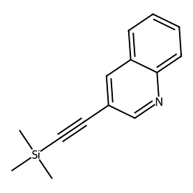 C[Si](C)(C)C#Cc1cnc2ccccc2c1